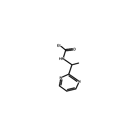 CCC(=O)NC(C)c1ncccn1